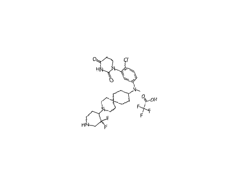 CN(c1ccc(Cl)c(N2CCC(=O)NC2=O)c1)C1CCC2(CC1)CCN(C1CCNCC1(F)F)CC2.O=C(O)C(F)(F)F